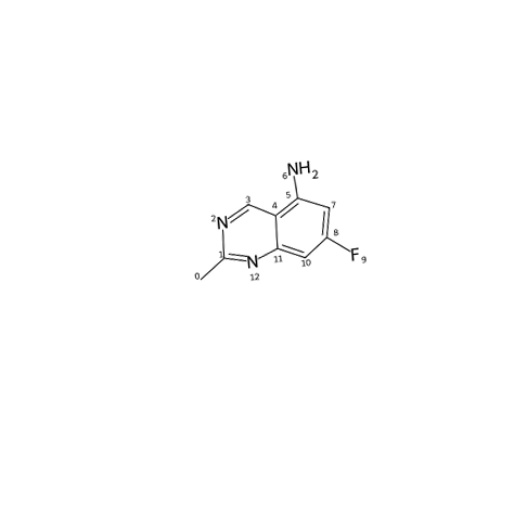 Cc1ncc2c(N)cc(F)cc2n1